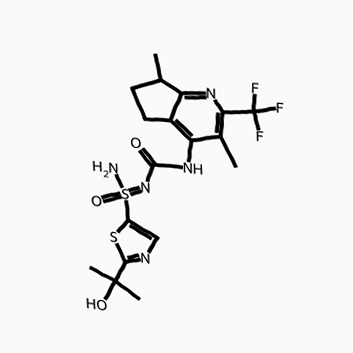 Cc1c(C(F)(F)F)nc2c(c1NC(=O)N=S(N)(=O)c1cnc(C(C)(C)O)s1)CCC2C